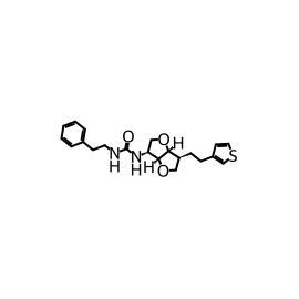 O=C(NCCc1ccccc1)N[C@H]1CO[C@@H]2[C@@H](CCc3ccsc3)CO[C@@H]21